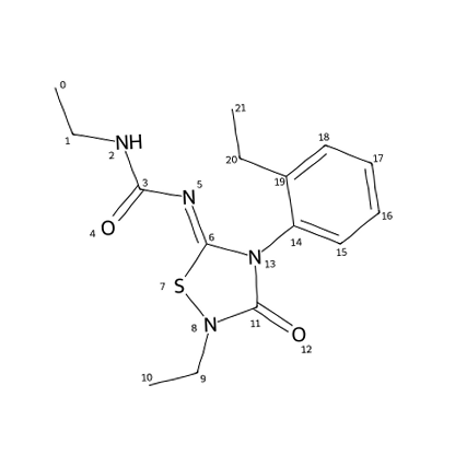 CCNC(=O)N=c1sn(CC)c(=O)n1-c1ccccc1CC